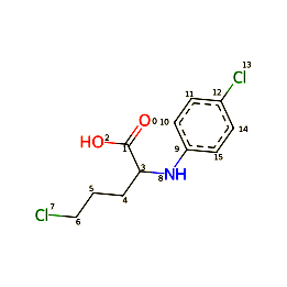 O=C(O)C(CCCCl)Nc1ccc(Cl)cc1